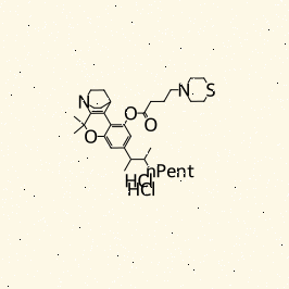 CCCCCC(C)C(C)c1cc(OC(=O)CCCN2CCSCC2)c2c(c1)OC(C)(C)C1=C2C2CCN1CC2.Cl.Cl